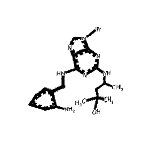 CC(CC(C)(C)O)Nc1nc(NCc2ccccc2N)c2ncn(C(C)C)c2n1